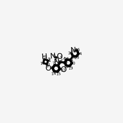 NC1=N[C@]2(CO1)c1cc(OC3CCC3)ccc1Oc1ccc(-c3cccnc3)cc12